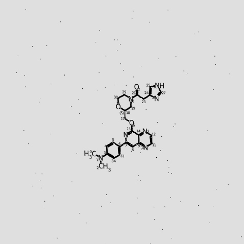 CN(C)c1ccc(-c2cc3nccnc3c(OC[C@@H]3CN(C(=O)Cc4c[nH]cn4)CCO3)n2)cc1